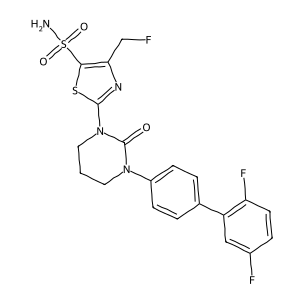 NS(=O)(=O)c1sc(N2CCCN(c3ccc(-c4cc(F)ccc4F)cc3)C2=O)nc1CF